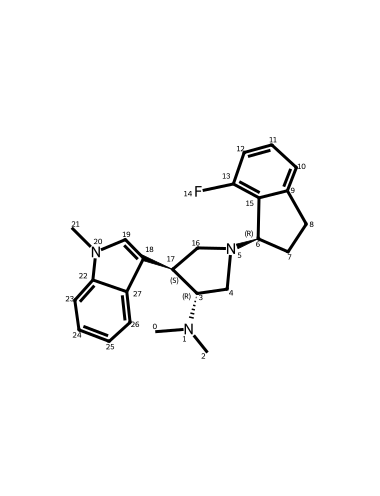 CN(C)[C@H]1CN([C@@H]2CCc3cccc(F)c32)C[C@@H]1c1cn(C)c2ccccc12